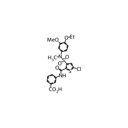 CCOc1ccc(N(C)S(=O)(=O)c2cc(Cl)sc2C(=O)Nc2cccc(C(=O)O)c2)cc1OC